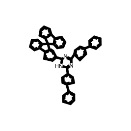 c1ccc(-c2ccc(C3=NC(c4ccc5c(c4)C4(c6ccccc6-c6ccccc64)c4ccccc4-5)NC(c4ccc(-c5ccccc5)cc4)=N3)cc2)cc1